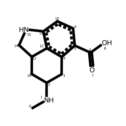 CNC1Cc2c(C(=O)O)ccc3c2C(CN3)C1